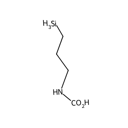 O=C(O)NCCC[SiH3]